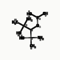 CC(N)(O)C(OB(O)O)C(C)(N)O